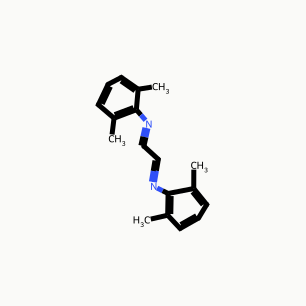 Cc1cccc(C)c1N=CC=Nc1c(C)cccc1C